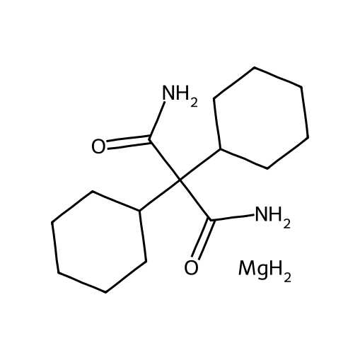 NC(=O)C(C(N)=O)(C1CCCCC1)C1CCCCC1.[MgH2]